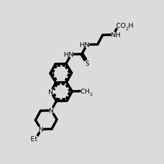 CCN1CCN(c2cc(C)c3cc(NC(=S)NCCNC(=O)O)ccc3n2)CC1